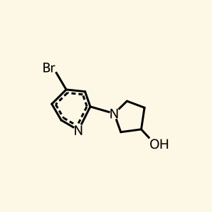 OC1CCN(c2cc(Br)ccn2)C1